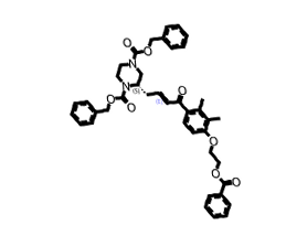 Cc1c(OCCOC(=O)c2ccccc2)ccc(C(=O)/C=C/C[C@H]2CN(C(=O)OCc3ccccc3)CCN2C(=O)OCc2ccccc2)c1C